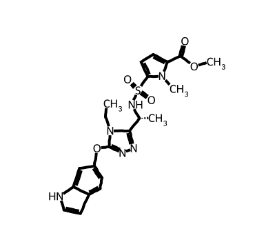 CCn1c(Oc2ccc3cc[nH]c3c2)nnc1[C@@H](C)NS(=O)(=O)c1ccc(C(=O)OC)n1C